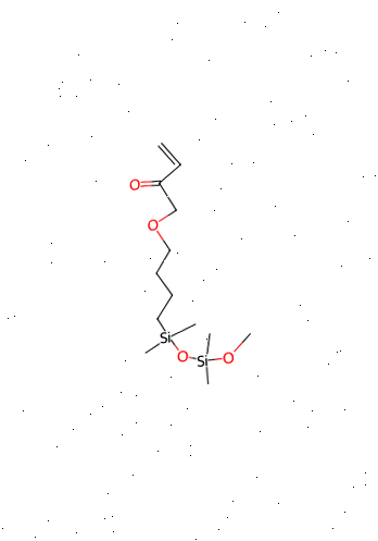 C=CC(=O)COCCCC[Si](C)(C)O[Si](C)(C)OC